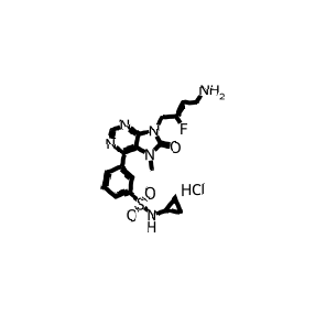 Cl.Cn1c(=O)n(CC(F)=CCN)c2ncnc(-c3cccc(S(=O)(=O)NC4CC4)c3)c21